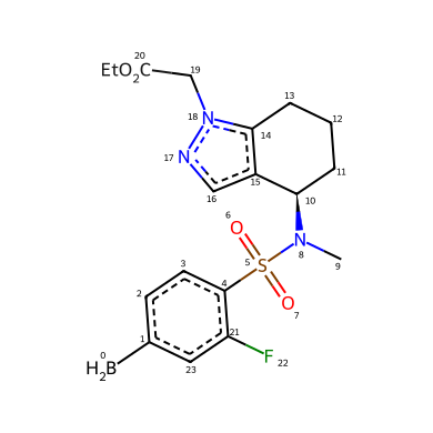 Bc1ccc(S(=O)(=O)N(C)[C@@H]2CCCc3c2cnn3CC(=O)OCC)c(F)c1